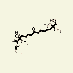 CCOC(=O)C(C)(C)CCCCC(=O)CCCCCC(C)(C)CO